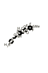 CSc1c(F)cc(N2C(=O)N(Cc3ccnc(NC(=O)CCN4CCN(C)CC4)c3)C(C)(C)C2=O)c(F)c1F